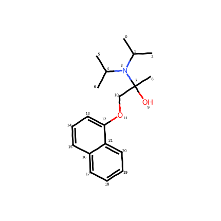 CC(C)N(C(C)C)C(C)(O)COc1cccc2ccccc12